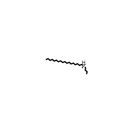 CCCCCCCCCCCCCCCCCC[PH](C)(C)CCCC